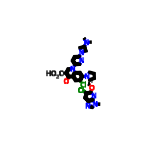 CN(C)C1CN(c2ccc(-n3cc(C(=O)O)c(=O)c4cc(Cl)c(N5CCC[C@@H]5COc5nc6c(cc5Cl)ncn6C)cc43)cn2)C1